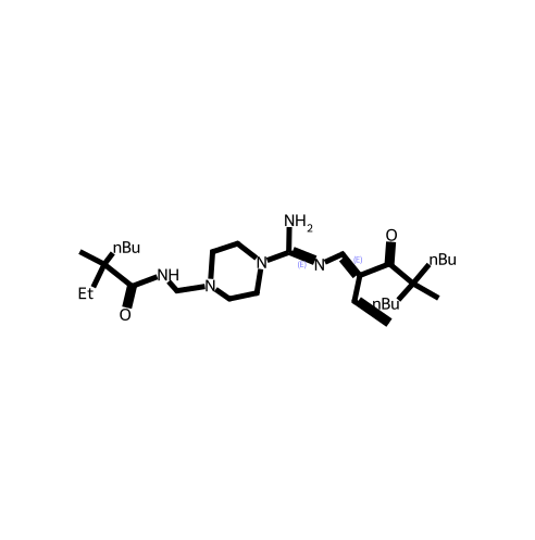 C=C/C(=C\N=C(/N)N1CCN(CNC(=O)C(C)(CC)CCCC)CC1)C(=O)C(C)(CCCC)CCCC